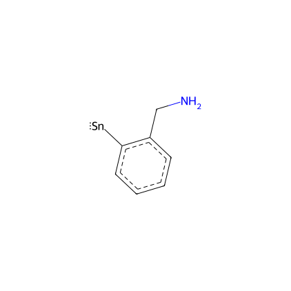 NCc1cccc[c]1[Sn]